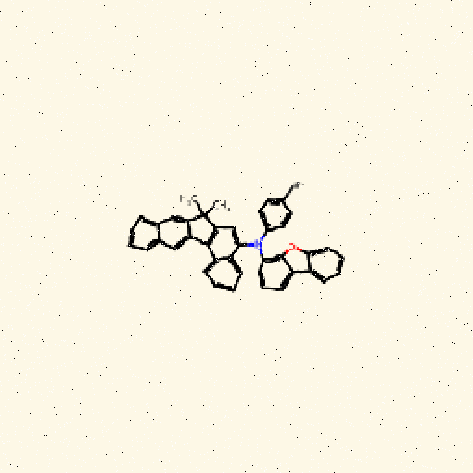 CC(C)c1ccc(N(c2cc3c(c4ccccc24)-c2cc4ccccc4cc2C3(C)C)c2cccc3c2oc2ccccc23)cc1